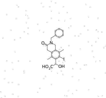 Cc1c(I)c(C(O)C(=O)O)c(C)c2c1CN(Cc1ccccc1)C(=O)C2